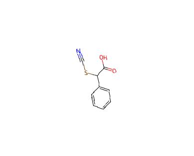 N#CSC(C(=O)O)c1ccccc1